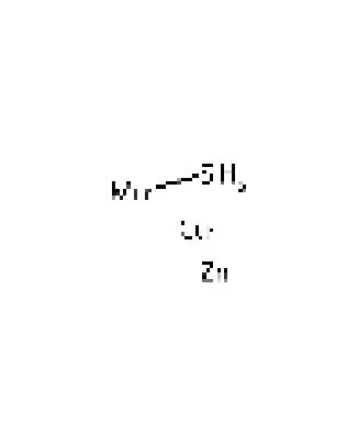 [Cu].[SiH3][Mn].[Zn]